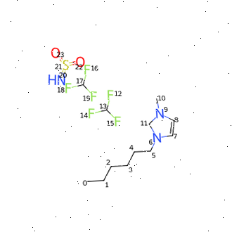 CCCCCCN1C=CN(C)C1.FC(F)F.FC(F)F.N=S(=O)=O